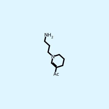 CC(=O)C1=CN(CCCN)CCC1